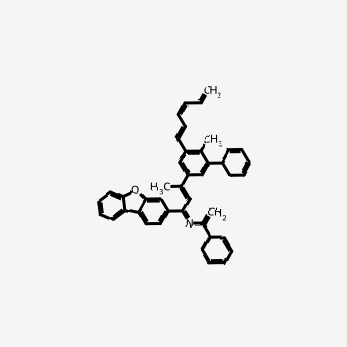 C=C/C=C\C=C\c1cc(/C(C)=C/C(=N\C(=C)C2C=CC=CC2)c2ccc3c(c2)oc2ccccc23)cc(C2C=CC=CC2)c1C